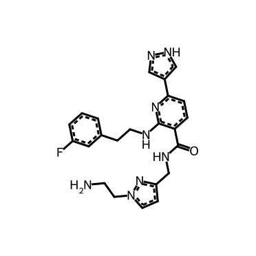 NCCn1ccc(CNC(=O)c2ccc(-c3cn[nH]c3)nc2NCCc2cccc(F)c2)n1